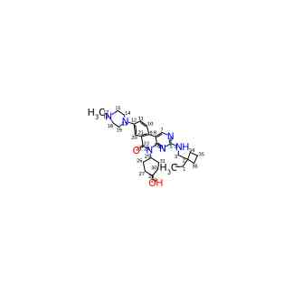 CCC1(CNc2ncc3c4ccc(N5CCN(C)CC5)cc4c(=O)n(C4CCC(O)CC4)c3n2)CCC1